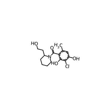 Cc1cc(O)c(Cl)c(O)c1C(=O)N1CCCCC1CCO